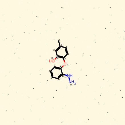 Cc1ccc(Oc2ccccc2NN)c(O)c1